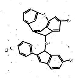 Brc1ccc2c(c1)[CH]([Zr+2][CH]1C3=Cc4c(cc(Br)cc41)Sc1cccc3c1)C(c1ccccc1)=C2.[Cl-].[Cl-]